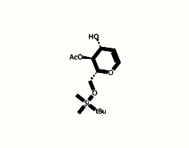 CC(=O)O[C@H]1[C@H](O)C=CO[C@@H]1CO[Si](C)(C)C(C)(C)C